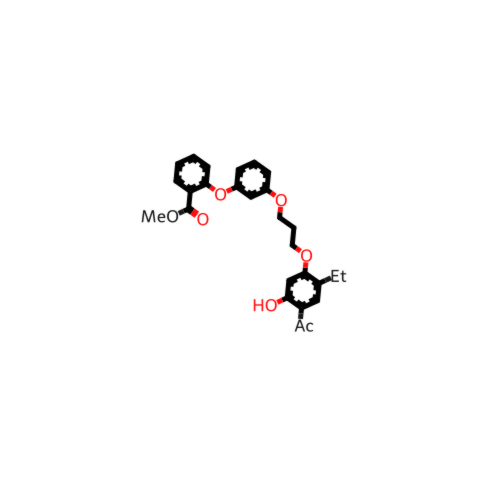 CCc1cc(C(C)=O)c(O)cc1OCCCOc1cccc(Oc2ccccc2C(=O)OC)c1